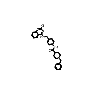 O=C(Nc1ccc(CNc2nc(Cl)nc3ccccc23)cc1)C1CCN(Cc2ccccc2)CC1